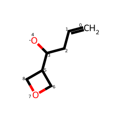 C=CCC([O])C1COC1